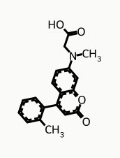 Cc1ccccc1-c1cc(=O)oc2cc(N(C)CC(=O)O)ccc12